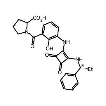 CC[C@@H](Nc1c(Nc2cccc(C(=O)N3CCCC3C(=O)O)c2O)c(=O)c1=O)c1ccccc1